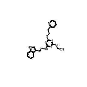 N#CCNc1nc(N/N=C/c2c[nH]c3ccccc23)nc(OCCc2ccccn2)n1